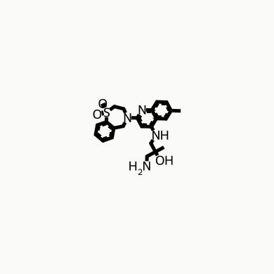 Cc1ccc2nc(N3CCS(=O)(=O)c4ccccc4C3)cc(NCC(C)(O)CN)c2c1